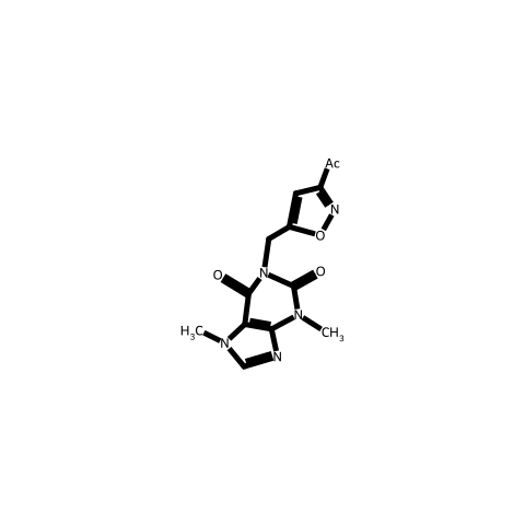 CC(=O)c1cc(Cn2c(=O)c3c(ncn3C)n(C)c2=O)on1